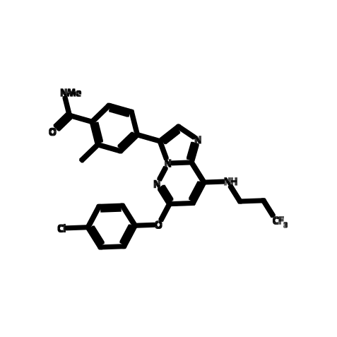 CNC(=O)c1ccc(-c2cnc3c(NCCC(F)(F)F)cc(Oc4ccc(Cl)cc4)nn23)cc1C